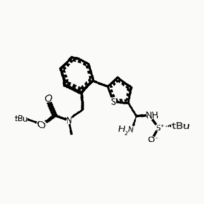 CN(Cc1ccccc1-c1ccc([C@H](N)N[S@@+]([O-])C(C)(C)C)s1)C(=O)OC(C)(C)C